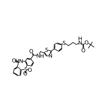 CC(C)(C)OC(=O)NCCCSc1ccc(-c2ncc(CNC(=O)c3ccc4c(c3)NC(=O)c3ccccc3S4(=O)=O)s2)cc1